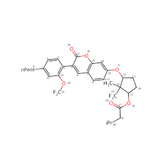 CCCCCc1ccc(-c2cc3ccc(OC4CCC(OC(=O)CC(C)C)C4(C)C(F)(F)F)cc3oc2=O)c(OC(F)(F)F)c1